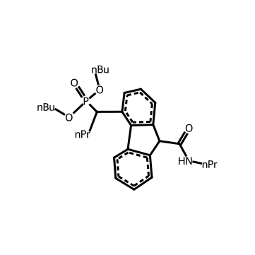 CCCCOP(=O)(OCCCC)C(CCC)c1cccc2c1-c1ccccc1C2C(=O)NCCC